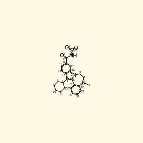 CN1CCn2c(c(C3CCCCC3)c3ccc(C(=O)N[SH](=O)=O)cc32)-c2ccccc21